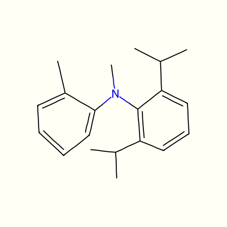 Cc1ccccc1N(C)c1c(C(C)C)cccc1C(C)C